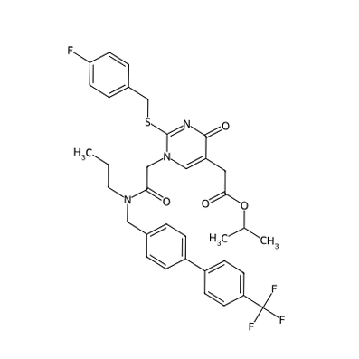 CCCN(Cc1ccc(-c2ccc(C(F)(F)F)cc2)cc1)C(=O)Cn1cc(CC(=O)OC(C)C)c(=O)nc1SCc1ccc(F)cc1